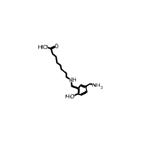 NCc1ccc(O)c(CNCCCCCCCC(=O)O)c1